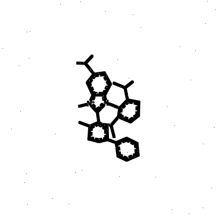 Cc1ccc(-c2ccccc2)cc1-c1n(-c2c(C(C)C)cccc2C(C)C)c2ccc(C(C)C)cc2[n+]1C